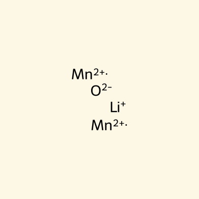 [Li+].[Mn+2].[Mn+2].[O-2]